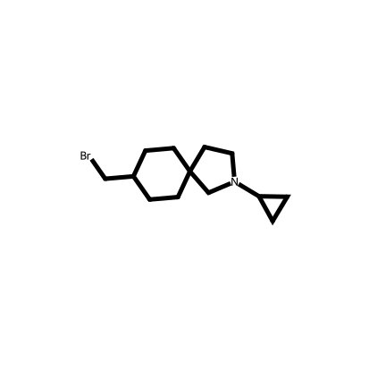 BrCC1CCC2(CC1)CCN(C1CC1)C2